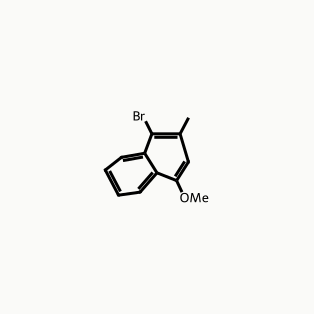 COc1cc(C)c(Br)c2ccccc12